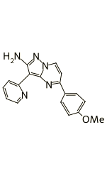 COc1ccc(-c2ccn3nc(N)c(-c4ccccn4)c3n2)cc1